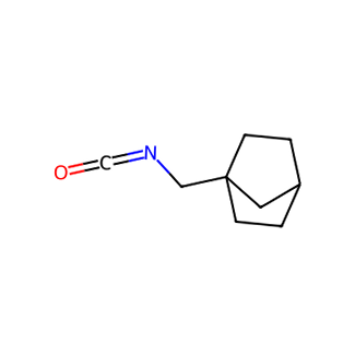 O=C=NCC12CCC(CC1)C2